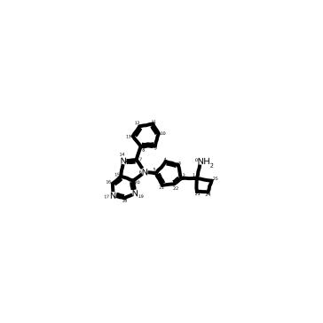 NC1(c2ccc(-n3c(-c4ccccc4)nc4cncnc43)cc2)CCC1